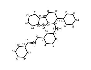 C(=N\CC1CCCC(NC2C(C3CCCCC3)CCC3C4CCCCC4SC32)C1)/C1CCCCC1